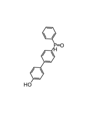 O=[PH](c1ccccc1)c1ccc(-c2ccc(O)cc2)cc1